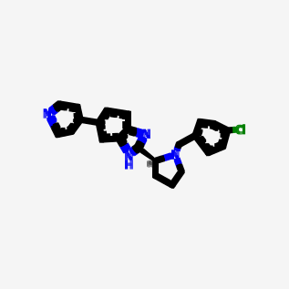 Clc1ccc(CN2CCC[C@H]2c2nc3ccc(-c4ccncc4)cc3[nH]2)cc1